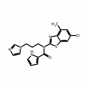 Cc1cc(Cl)cc2sc(N(CCCn3ccnc3)C(=O)c3ccc[nH]3)nc12